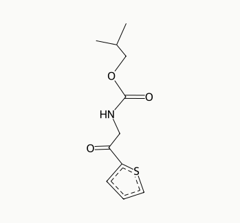 CC(C)COC(=O)NCC(=O)c1cccs1